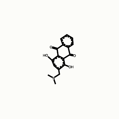 CN(C)Cc1cc(O)c2c(c1O)C(=O)c1ccccc1C2=O